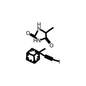 CC1NC(=O)NC1=O.Cc1cc2cc(c1)C2CC#CI